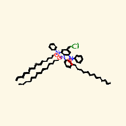 CCCCCCCCCCCCCCON(c1ccccc1)c1cc(CCl)cc(N(OCCCCCCCCCCCCCC)c2ccccc2)c1N(OCCCCCCCCCCCCCC)c1ccccc1